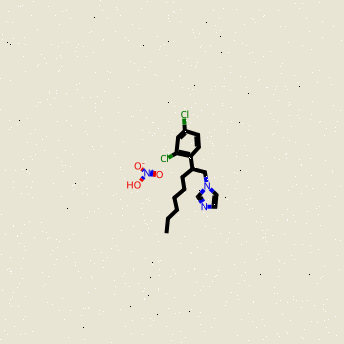 CCCCCCC(Cn1ccnc1)c1ccc(Cl)cc1Cl.O=[N+]([O-])O